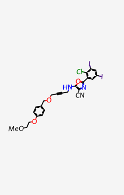 COCCOc1ccc(COCC#CCNc2oc(-c3cc(I)cc(I)c3Cl)nc2C#N)cc1